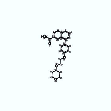 NC(=O)c1ccc2cncc(-c3ccc(OCCOC4CCOCC4)cc3)c2c1